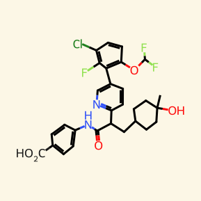 CC1(O)CCC(CC(C(=O)Nc2ccc(C(=O)O)cc2)c2ccc(-c3c(OC(F)F)ccc(Cl)c3F)cn2)CC1